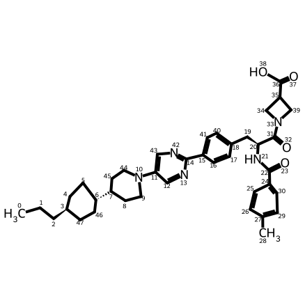 CCC[C@H]1CC[C@H](C2CCN(c3cnc(-c4ccc(C[C@H](NC(=O)c5ccc(C)cc5)C(=O)N5CC(C(=O)O)C5)cc4)nc3)CC2)CC1